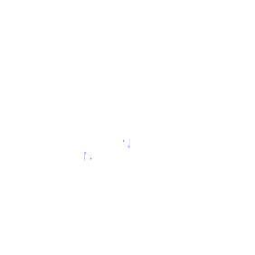 Cc1ccc(/N=C/N(C)C)cc1